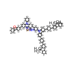 CC1(C)c2ccccc2-c2ccc(-c3ccc(-c4ccc5c(c4)c4cc(-c6ccc(-c7ccc8c(c7)C(C)(C)c7ccccc7-8)cc6)ccc4n5-c4ccc(C5=CC=C(N(c6ccccc6)c6ccc(-c7ccc8c(c7)oc7ccccc78)cc6)/C(=N/S)C5=N)cc4)cc3)cc21